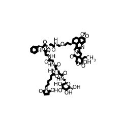 CC[C@@]1(O)C(=O)OCc2c1cc1n(c2=O)Cc2c-1nc1cc3c(c4c1c2[C@@H](CCCOCNC(=O)CNC(=O)[C@H](Cc1ccccc1)NC(=O)CNC(=O)CNC(=O)[C@H](CCC(=O)NC[C@@H]1O[C@H](CO)[C@@H](O)[C@H](O)[C@H]1O)NC(=O)CCCCCN1C(=O)C=CC1=O)CC4)OCO3